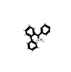 CC(c1ccccc1)c1ccccc1-c1[c]cccc1